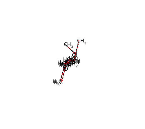 CCCCCCCCCCCCCCCCCCN(CCCCCCCCCCCCCCCCCC)CC(=O)CCC(=O)NCC1O[C@H](OC(CO)[C@@H](CO)OCOC2C(O)[C@H](N)CC(N)[C@H]2O[C@H]2OC(NC(=O)CCC(=O)N(CCCCCCCCCCCCCCCCCC)CCCCCCCCCCCCCCCCCC)[C@@H](O)C(O)C2N)C(N)C(O)[C@@H]1O